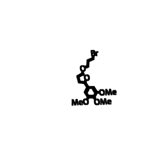 COc1cc(C2CCC(OCCCBr)O2)cc(OC)c1OC